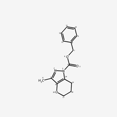 Cc1nn(C(=O)OCc2ccccc2)c2c1OCCC2